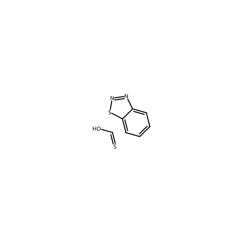 OC=S.c1ccc2snnc2c1